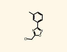 Cc1cccc(-c2noc(CCl)n2)c1